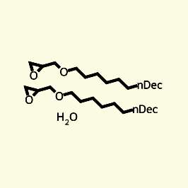 CCCCCCCCCCCCCCCCOCC1CO1.CCCCCCCCCCCCCCCCOCC1CO1.O